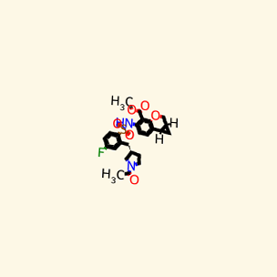 COC(=O)c1c(NS(=O)(=O)c2ccc(F)cc2C[C@@H]2CCN(C(C)=O)C2)ccc2c1OC[C@@H]1C[C@H]21